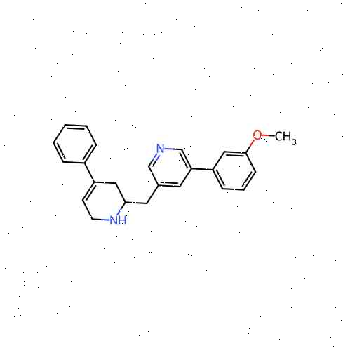 COc1cccc(-c2cncc(CC3CC(c4ccccc4)=CCN3)c2)c1